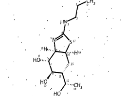 CCCNC1=N[C@@H]2[C@@H](O)[C@H](O)[C@@H]([C@H](C)O)C[C@@H]2S1